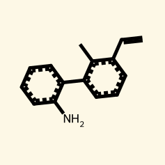 C=Cc1cccc(-c2ccccc2N)c1C